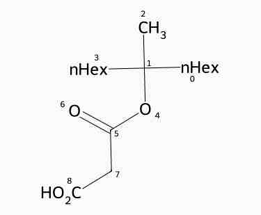 CCCCCCC(C)(CCCCCC)OC(=O)CC(=O)O